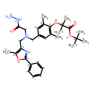 Cc1cc(CN(CC(=O)NN)Cc2nc(-c3ccccc3)oc2C)cc(C)c1OC(C)(C)C(=O)OC(C)(C)C